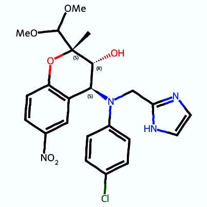 COC(OC)[C@@]1(C)Oc2ccc([N+](=O)[O-])cc2[C@H](N(Cc2ncc[nH]2)c2ccc(Cl)cc2)[C@H]1O